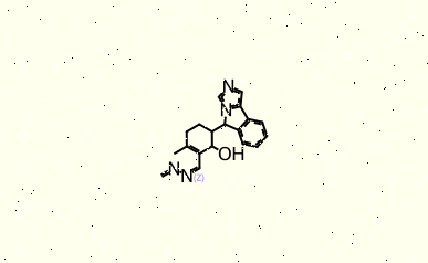 C=N/N=C\C1=C(C)CCC(C2c3ccccc3-c3cncn32)C1O